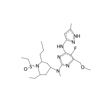 CCCC1CC(N(C)c2nc(COC)c(F)c(Nc3cc(C)[nH]n3)n2)CC(CC)N1[S+]([O-])CC